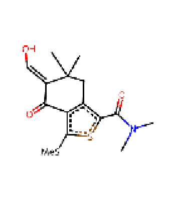 CSc1sc(C(=O)N(C)C)c2c1C(=O)C(=CO)C(C)(C)C2